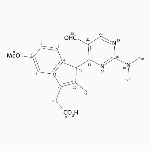 COc1ccc2c(c1)C(CC(=O)O)=C(C)C2c1nc(N(C)C)ncc1C=O